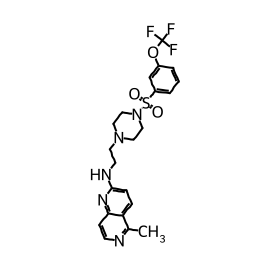 Cc1nccc2nc(NCCN3CCN(S(=O)(=O)c4cccc(OC(F)(F)F)c4)CC3)ccc12